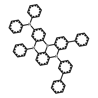 c1ccc(-c2cccc(N3c4cc(-c5ccccc5)ccc4B4c5ccc(N(c6ccccc6)c6ccccc6)cc5N(c5ccccc5)c5cccc3c54)c2)cc1